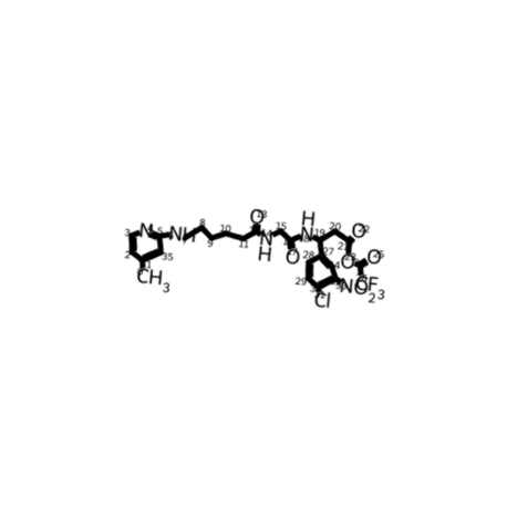 Cc1ccnc(NCCCCCC(=O)NCC(=O)NC(CC(=O)OC(=O)C(F)(F)F)c2ccc(Cl)c([N+](=O)[O-])c2)c1